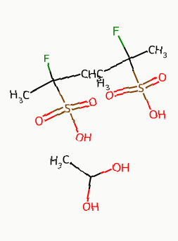 CC(C)(F)S(=O)(=O)O.CC(C)(F)S(=O)(=O)O.CC(O)O